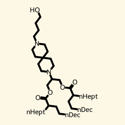 CCCCCCCCCCCCC(CCCCCCC)C(=O)OCC(COC(=O)C(CCCCCCC)CCCCCCCCCCCC)N1CCC2(CCN(CCCCO)CC2)CC1